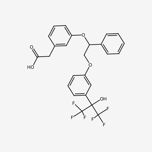 O=C(O)Cc1cccc(OC(COc2cccc(C(O)(C(F)(F)F)C(F)(F)F)c2)c2ccccc2)c1